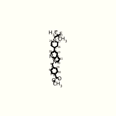 COC(=O)c1ccc(Cn2ccc3cc(C4CCN(CC(C)(C)F)CC4)cnc32)cc1